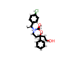 C[C@@H](c1ccc(Cl)cc1)N1CCC(CCO)(c2ccccc2)OC1=O